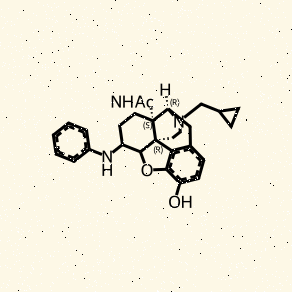 CC(=O)N[C@@]12CCC(Nc3ccccc3)C3Oc4c(O)ccc5c4[C@@]31CCN(CC1CC1)[C@@H]2C5